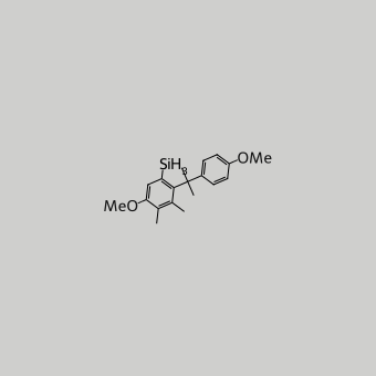 COc1ccc(C(C)(C)c2c([SiH3])cc(OC)c(C)c2C)cc1